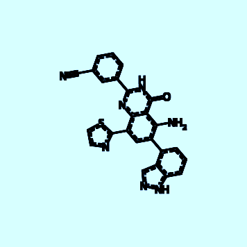 N#Cc1cccc(-c2nc3c(-c4nccs4)cc(-c4cccc5[nH]ncc45)c(N)c3c(=O)[nH]2)c1